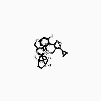 O=C(O)Cc1nc([C@]2(O)[C@@H]3CC[C@H]2C[C@H](OCc2c(-c4c(Cl)cccc4Cl)noc2C2CC2)C3)oc1C(F)(F)F